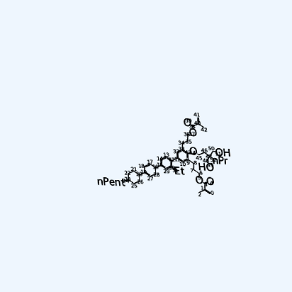 C=C(C)C(=O)OCCCc1cc(-c2ccc(C3C=CC(C4CCC(CCCCC)CC4)=CC3)cc2CC)cc(CCCOC(=O)C(=C)C)c1OCCC(CO)(CO)CCC